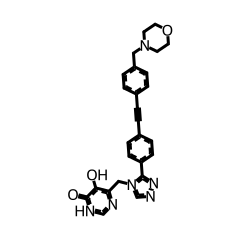 O=c1[nH]cnc(Cn2cnnc2-c2ccc(C#Cc3ccc(CN4CCOCC4)cc3)cc2)c1O